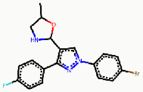 CC1CNC(c2cn(-c3ccc(Br)cc3)nc2-c2ccc(F)cc2)O1